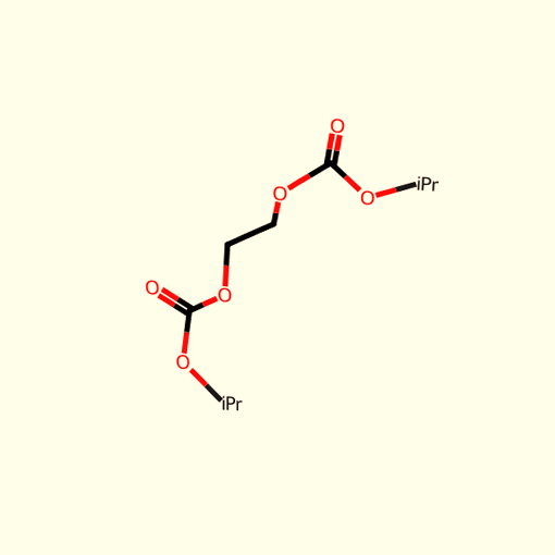 CC(C)OC(=O)OCCOC(=O)OC(C)C